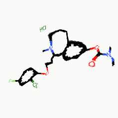 CN(C)C(=O)Oc1ccc2c(c1)C=CCN(C)C2CCOc1ccc(F)cc1Cl.Cl